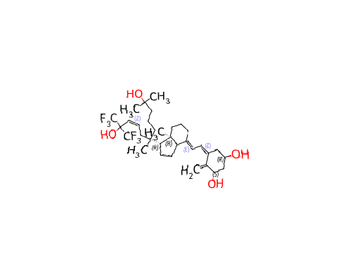 C=C1/C(=C\C=C2/CCC[C@@]3(C)C2CC[C@@H]3C(C)(C/C=C\C(O)(C(F)(F)F)C(F)(F)F)CCCC(C)(C)O)C[C@@H](O)C[C@@H]1O